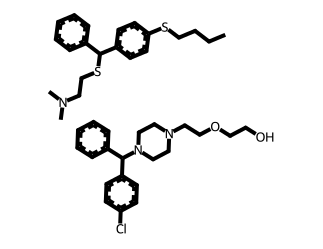 CCCCSc1ccc(C(SCCN(C)C)c2ccccc2)cc1.OCCOCCN1CCN(C(c2ccccc2)c2ccc(Cl)cc2)CC1